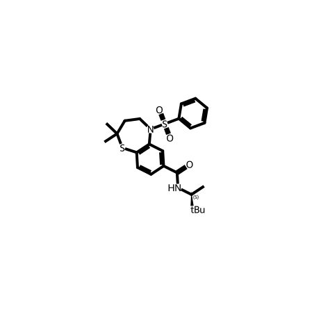 C[C@H](NC(=O)c1ccc2c(c1)N(S(=O)(=O)c1ccccc1)CCC(C)(C)S2)C(C)(C)C